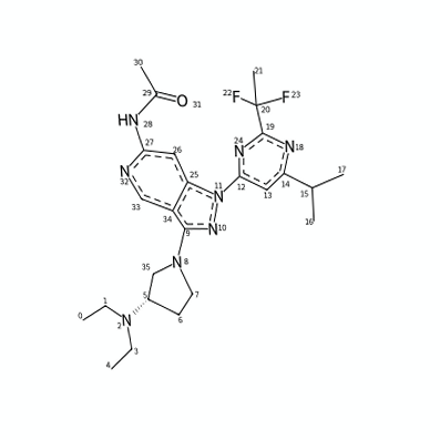 CCN(CC)[C@H]1CCN(c2nn(-c3cc(C(C)C)nc(C(C)(F)F)n3)c3cc(NC(C)=O)ncc23)C1